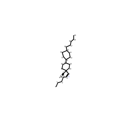 CCCC/C=C\C1(C#N)CCC(C2CCC(CCCCC)CC2)CC1